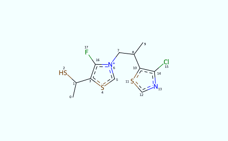 CC(S)c1sc[n+](CC(C)c2scnc2Cl)c1F